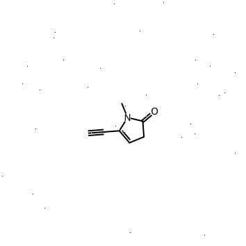 C#CC1=CCC(=O)N1C